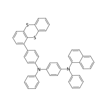 c1ccc(N(c2ccc(-c3cccc4c3Sc3ccccc3S4)cc2)c2ccc(N(c3ccccc3)c3cccc4ccccc34)cc2)cc1